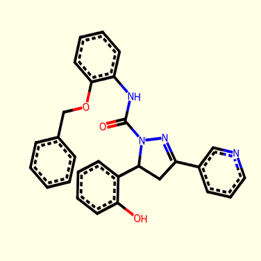 O=C(Nc1ccccc1OCc1ccccc1)N1N=C(c2cccnc2)CC1c1ccccc1O